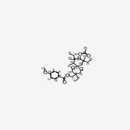 CCC1(COC(=O)c2ccc(OC)cc2)COC2(CC(C)(CC)N(OC(C)=O)C(C)(CC)C2C)OC1